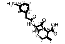 C=C1CS[C@H]2C(NC(=O)Cc3cccc(N)c3)C(=O)N2C1C(=O)O